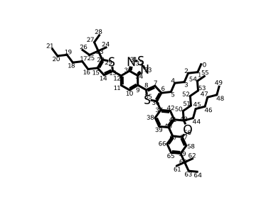 CCCCCCc1cc(-c2ccc(-c3cc(CCCCCC)c(C(C)(CC)CC)s3)c3nsnc23)sc1-c1ccc2c(c1)C(CCCCCC)(CCCCCC)Oc1cc(C(C)(C)CC)ccc1-2